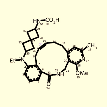 CCN(c1cccc2c1C/C=C\CCc1cc(C)nc(OC)c1CNC2=O)C1CC2(CC(NC(=O)O)C2)C1